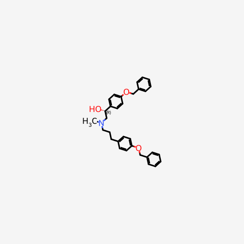 CN(CCCc1ccc(OCc2ccccc2)cc1)C[C@H](O)c1ccc(OCc2ccccc2)cc1